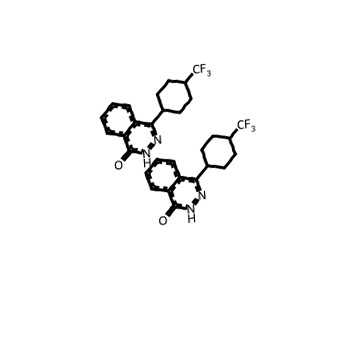 O=c1[nH]nc(C2CCC(C(F)(F)F)CC2)c2ccccc12.O=c1[nH]nc(C2CCC(C(F)(F)F)CC2)c2ccccc12